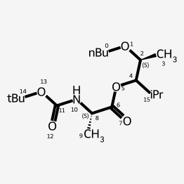 CCCCO[C@@H](C)C(OC(=O)[C@H](C)NC(=O)OC(C)(C)C)C(C)C